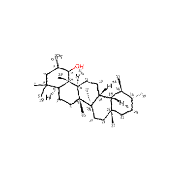 CC(C)C1CC(C)(C)[C@@H]2CC[C@]3(C)[C@H](CC[C@@H]4[C@@H]5[C@@H](C)[C@H](C)CC[C@]5(C)CC[C@]43C)[C@@]2(C)C1O